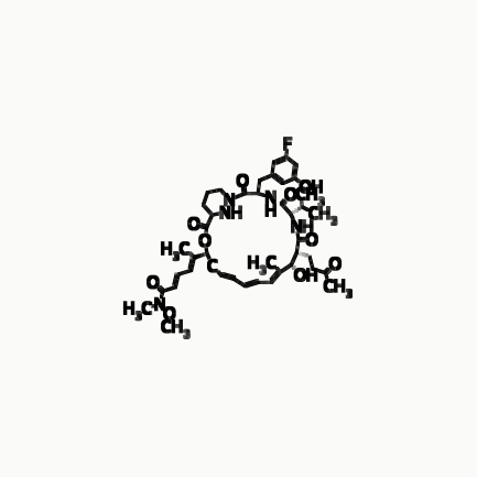 CON(C)C(=O)/C=C/C=C(\C)[C@@H]1C/C=C/C=C/C=C(\C)[C@@H](O)[C@@H](CCC(C)=O)C(=O)N[C@@H](C(C)C)C(=O)NC(Cc2cc(O)cc(F)c2)C(=O)N2CCCC(N2)C(=O)O1